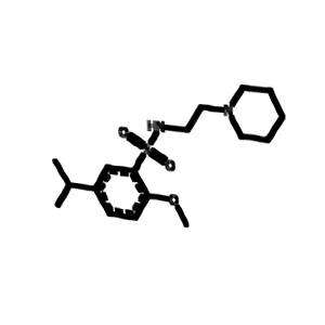 COc1ccc(C(C)C)cc1S(=O)(=O)NCCN1CCCCC1